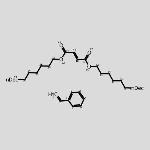 C=Cc1ccccc1.CCCCCCCCCCCCCCCCOC(=O)C=CC(=O)OCCCCCCCCCCCCCCCC